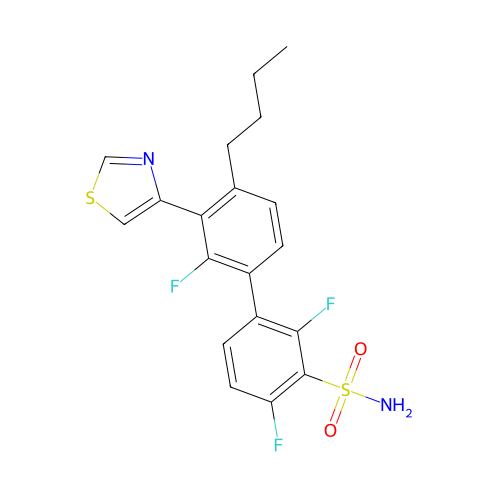 CCCCc1ccc(-c2ccc(F)c(S(N)(=O)=O)c2F)c(F)c1-c1cscn1